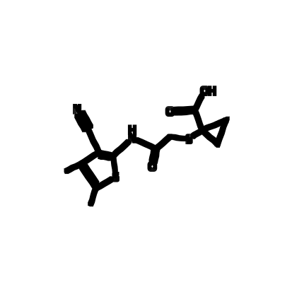 Cc1sc(NC(=O)CSC2(C(=O)O)CC2)c(C#N)c1C